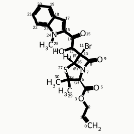 C=CCOC(=O)[C@@H]1N2C(=O)[C@@](Br)(C(O)C(=O)c3cc4ccccc4n3C)[C@H]2SC1(C)C